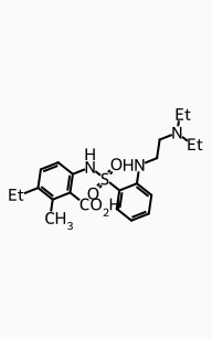 CCc1ccc(NS(=O)(=O)c2ccccc2NCCN(CC)CC)c(C(=O)O)c1C